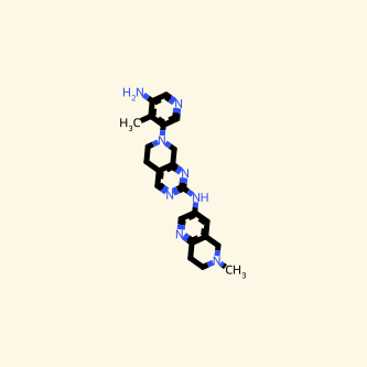 Cc1c(N)cncc1N1CCc2cnc(Nc3cnc4c(c3)CN(C)CC4)nc2C1